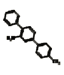 Cc1ccc(-c2ccc(-c3ccccc3)c(N)c2)cc1